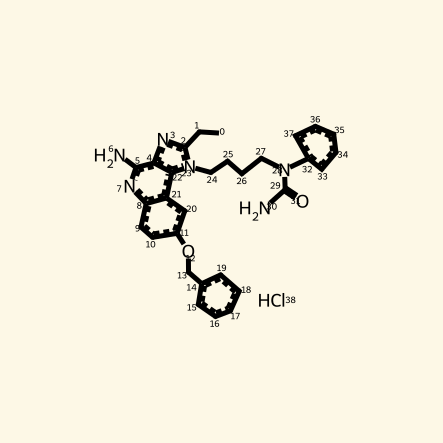 CCc1nc2c(N)nc3ccc(OCc4ccccc4)cc3c2n1CCCCN(C(N)=O)c1ccccc1.Cl